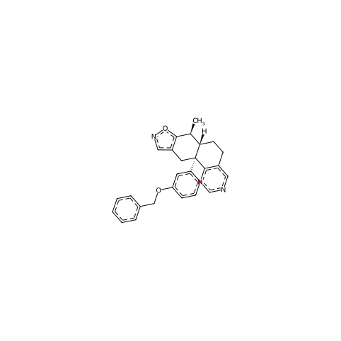 C[C@@H]1c2oncc2C[C@]2(c3cccc(OCc4ccccc4)c3)c3ncncc3CC[C@@H]12